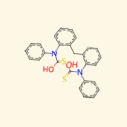 OC(=S)N(c1ccccc1)c1ccccc1Cc1ccccc1N(C(O)=S)c1ccccc1